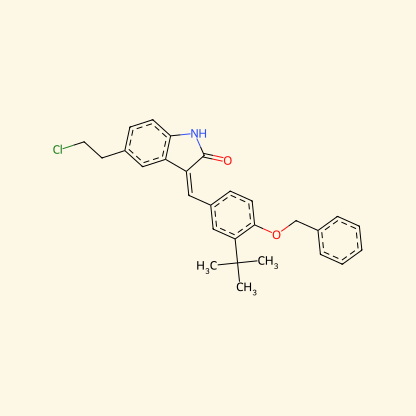 CC(C)(C)c1cc(C=C2C(=O)Nc3ccc(CCCl)cc32)ccc1OCc1ccccc1